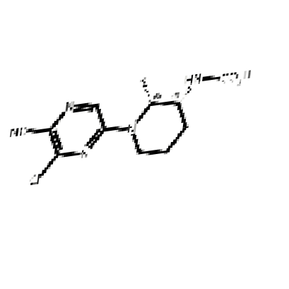 C[C@@H]1[C@H](NC(=O)O)CCCN1c1cnc(C#N)c(Cl)n1